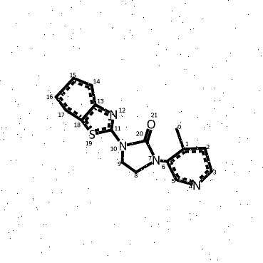 Cc1ccncc1N1CCN(c2nc3ccccc3s2)C1=O